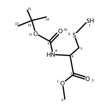 COC(=O)C(CSS)NC(=O)OC(C)(C)C